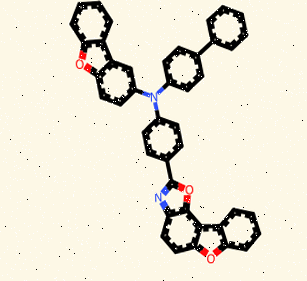 c1ccc(-c2ccc(N(c3ccc(-c4nc5ccc6oc7ccccc7c6c5o4)cc3)c3ccc4oc5ccccc5c4c3)cc2)cc1